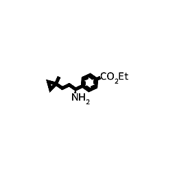 CCOC(=O)c1ccc([C@@H](N)CCC2(C)CC2)cc1